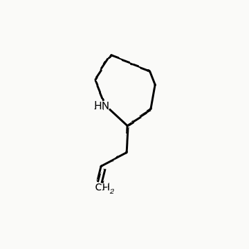 C=CCC1CCCCCN1